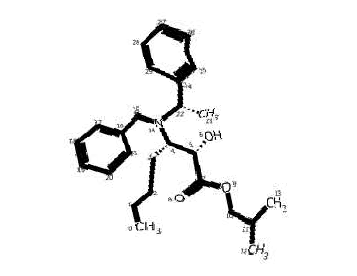 CCCC[C@@H]([C@H](O)C(=O)OCC(C)C)N(Cc1ccccc1)[C@@H](C)c1ccccc1